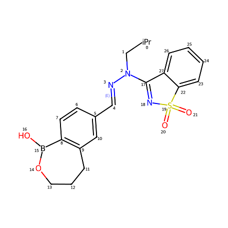 CC(C)CN(/N=C/c1ccc2c(c1)CCCOB2O)C1=NS(=O)(=O)c2ccccc21